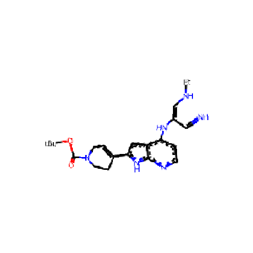 CCN/C=C(\C=N)Nc1ccnc2[nH]c(C3=CCN(C(=O)OC(C)(C)C)CC3)cc12